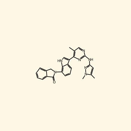 Cc1cnc(Nc2cc(C)n(C)n2)nc1-c1c[nH]c2c(N3Cc4ccccc4C3=O)cccc12